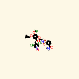 C[C@@H](C(=O)O[C@H](Cc1c(Cl)c[n+]([O-])cc1Cl)c1ccc(OC(F)F)c(OCC2CC2)c1)N(C)S(=O)(=O)c1cccc(C(=O)N(C)C)c1